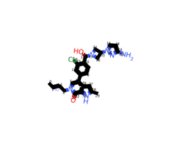 C/C=C/Cn1cc(-c2ccc(C(O)N3CC(n4ccc(N)n4)C3)c(Cl)c2)c2cc(C)[nH]c2c1=O